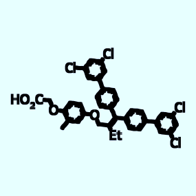 CCC(COc1ccc(OCC(=O)O)c(C)c1)=C(c1ccc(-c2cc(Cl)cc(Cl)c2)cc1)c1ccc(-c2cc(Cl)cc(Cl)c2)cc1